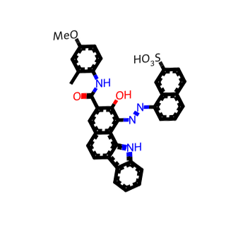 COc1ccc(NC(=O)c2cc3ccc4c5ccccc5[nH]c4c3c(N=Nc3cccc4ccc(S(=O)(=O)O)cc34)c2O)c(C)c1